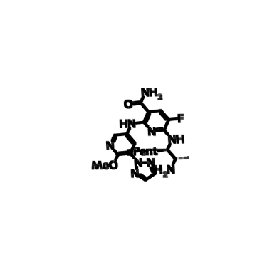 CCCCC[C@@H](Nc1nc(Nc2cnc(OC)c(-n3nccn3)c2)c(C(N)=O)cc1F)[C@H](C)N